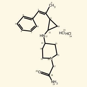 CC(=Cc1ccccc1)C1CC1NC1CCN(CC(N)=O)CC1.Cl.Cl